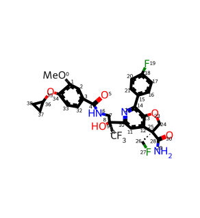 COc1cc(C(=O)NCC(O)(c2cc3c(c(-c4ccc(F)cc4)n2)OC[C@@]3(CF)C(N)=O)C(F)(F)F)ccc1OC1CC1